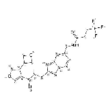 O=C(CCC(F)(F)F)NCc1cnn2cc(CNC(=O)c3conc3C3COC3)nc2c1